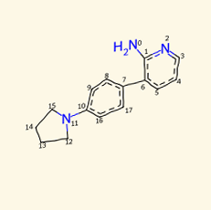 Nc1ncccc1-c1ccc(N2CCCC2)cc1